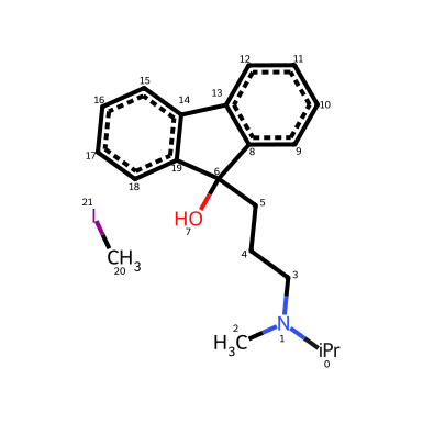 CC(C)N(C)CCCC1(O)c2ccccc2-c2ccccc21.CI